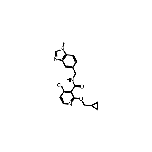 Cn1cnc2cc(CNC(=O)c3c(Cl)ccnc3OCC3CC3)ccc21